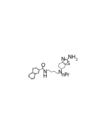 CCCN(CCCCNC(=O)c1ccc2ccccc2c1)C1CCc2nc(N)sc2C1